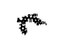 CCS(=O)(=O)c1ccc([C@H](CO)NC(=O)c2ccc3c(C4CC4)n(CC4CCC(C(F)(F)F)CC4)nc3c2)cc1